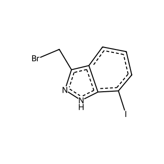 BrCc1n[nH]c2c(I)cccc12